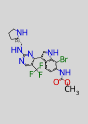 COC(=O)Nc1ccc2c(-c3nc(NC[C@@H]4CCCN4)ncc3C(F)(F)F)c[nH]c2c1Br